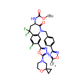 CC(C)(C)OC(=O)NC1CC(F)(F)c2cc(F)c(-c3nnc(N4CCOC5(CC5)C4)o3)cc2N(Cc2ccc(-c3noc(C(F)(F)F)n3)cc2)C1=O